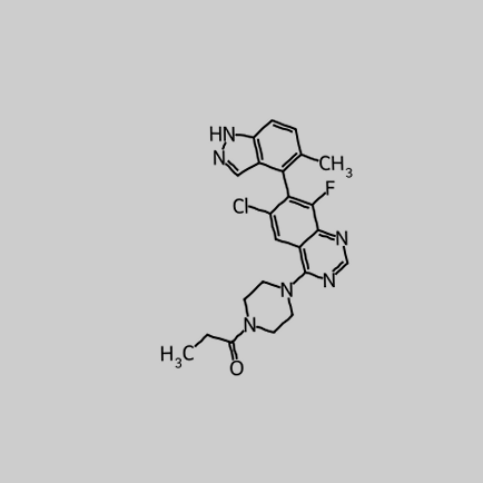 CCC(=O)N1CCN(c2ncnc3c(F)c(-c4c(C)ccc5[nH]ncc45)c(Cl)cc23)CC1